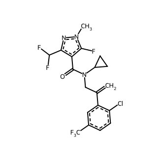 C=C(CN(C(=O)c1c(C(F)F)nn(C)c1F)C1CC1)c1cc(C(F)(F)F)ccc1Cl